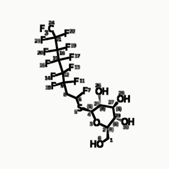 OC[C@H]1O[C@@H](SC(F)CC(F)(F)C(F)(F)C(F)(F)C(F)(F)C(F)(F)C(F)(F)F)[C@H](O)[C@@H](O)[C@@H]1O